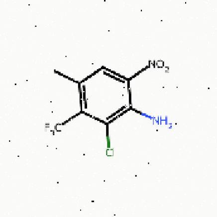 Cc1cc([N+](=O)[O-])c(N)c(Cl)c1C(F)(F)F